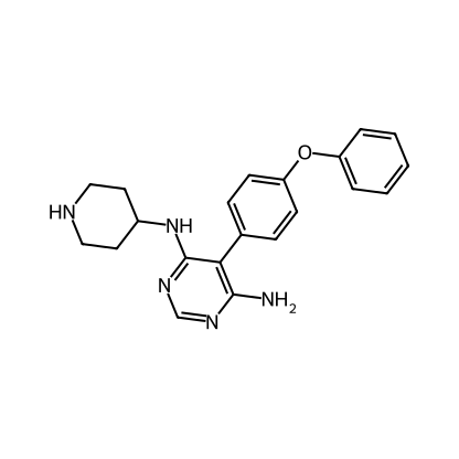 Nc1ncnc(NC2CCNCC2)c1-c1ccc(Oc2ccccc2)cc1